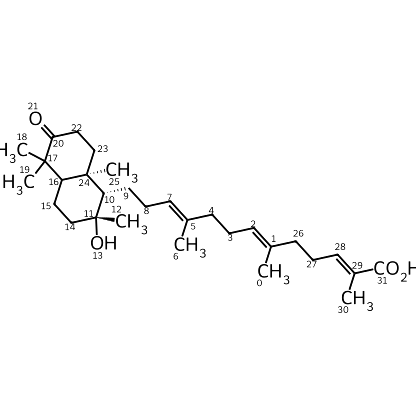 C/C(=C\CC/C(C)=C/CC[C@@H]1[C@](C)(O)CCC2C(C)(C)C(=O)CC[C@]21C)CC/C=C(\C)C(=O)O